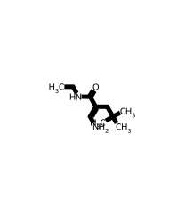 CCNC(=O)C(=CN)CC(C)(C)C